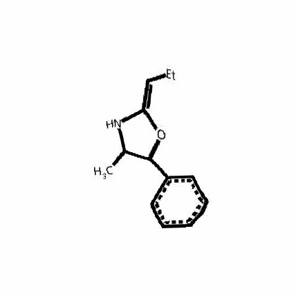 CCC=C1NC(C)C(c2ccccc2)O1